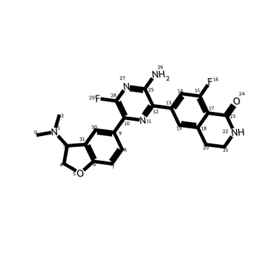 CN(C)C1COc2ccc(-c3nc(-c4cc(F)c5c(c4)CCNC5=O)c(N)nc3F)cc21